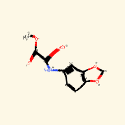 COC(=O)C(=O)Nc1ccc2c(c1)OCO2